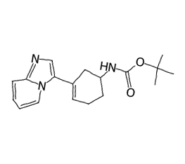 CC(C)(C)OC(=O)NC1CCC=C(c2cnc3ccccn23)C1